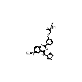 CCOc1ccc2nc(-c3cccc(OCC(=O)NC(C)C)c3)nc(NC3CCOC3)c2c1